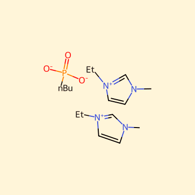 CCCCP(=O)([O-])[O-].CC[n+]1ccn(C)c1.CC[n+]1ccn(C)c1